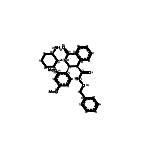 COc1ccc([C@H]2[C@H](C(=O)NOCc3ccccc3)c3ccccc3C(=O)N2[C@@H]2CCCC[C@H]2N)c(OC)c1